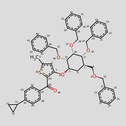 Cc1cc(O[C@@H]2C[C@H](COCc3ccccc3)[C@@H](OCc3ccccc3)[C@@H](OCc3ccccc3)[C@H]2OCc2ccccc2)c(C(=O)c2ccc(C3CC3)cc2)s1